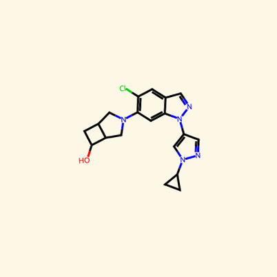 OC1CC2CN(c3cc4c(cnn4-c4cnn(C5CC5)c4)cc3Cl)CC12